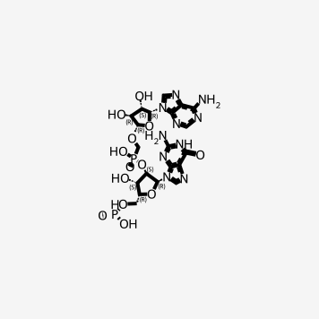 Nc1nc2c(ncn2[C@@H]2O[C@H](CO[PH](=O)O)[C@H](O)[C@@H]2OP(=O)(O)CO[C@H]2O[C@@H](n3cnc4c(N)ncnc43)[C@@H](O)[C@H]2O)c(=O)[nH]1